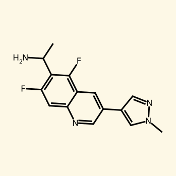 CC(N)c1c(F)cc2ncc(-c3cnn(C)c3)cc2c1F